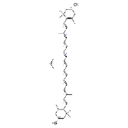 CC1=C(/C=C/C(C)=C/C=C/C(C)=C/C=C/C=C(C)/C=C/C=C(C)/C=C/C2=C(C)C[C@@H](O)CC2(C)C)C(C)(C)C[C@H](O)C1.COC